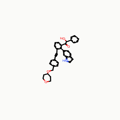 O=C(c1cccc(C#Cc2ccc(COC3CCOCC3)cc2)c1-c1ccc2cc[nH]c2c1)C(O)c1ccccc1